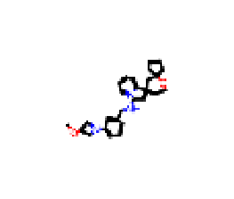 COC1CN(c2cccc(CNCCC3(c4ccccn4)CCOC4(CCCC4)C3)c2)C1